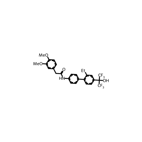 CCc1cc(C(O)(C(F)(F)F)C(F)(F)F)ccc1-c1ccc(NC(=O)Cc2ccc(OC)c(OC)c2)cc1